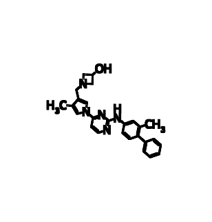 Cc1cn(-c2ccnc(Nc3ccc(-c4ccccc4)c(C)c3)n2)cc1CN1CC(O)C1